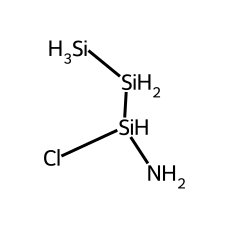 N[SiH](Cl)[SiH2][SiH3]